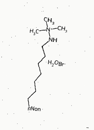 CCCCCCCCCCCCCCCCN[N+](C)(C)C.O.[Br-]